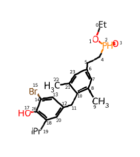 CCO[PH](=O)CCc1cc(C)c(Cc2cc(Br)c(O)c(C(C)C)c2)c(C)c1